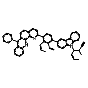 C#CC(C)C(/C=C\C)n1c2ccccc2c2cc(-c3ccc(-c4ccc5ccc6c(-c7ccccc7)c7ccccc7nc6c5n4)c(/C=C\C)c3C=C)ccc21